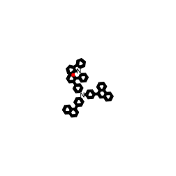 c1ccc(-c2ccccc2-n2c3ccccc3c3ccccc32)c(-c2ccc(N(c3ccc(-c4cccc5ccccc45)cc3)c3ccc(-c4cc5ccccc5c5ccccc45)cc3)cc2)c1